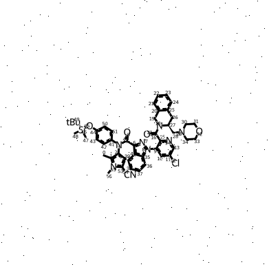 Cc1c(N(C(=O)c2nn(-c3cc(Cl)cnc3C(=O)N3Cc4ccccc4C[C@H]3CN3CCOCC3)c3ccccc23)c2ccc(O[Si](C)(C)C(C)(C)C)cc2)cc(C#N)n1C